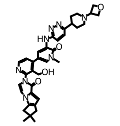 Cn1cc(-c2ccnc(-n3ccn4c5c(cc4c3=O)CC(C)(C)C5)c2CO)cc(Nc2ccc(C3CCN(C4COC4)CC3)nn2)c1=O